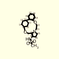 CS(=O)(=O)NC1=C2COC3CCC(CC3)c3ccccc3OCCN2CC1